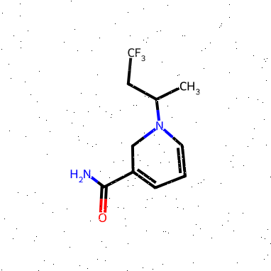 CC(CC(F)(F)F)N1C=CC=C(C(N)=O)C1